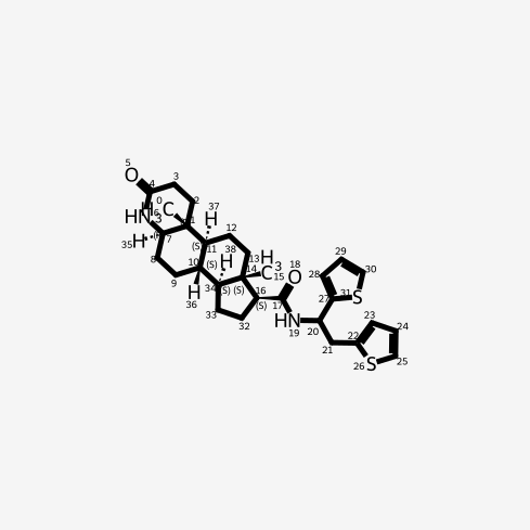 C[C@]12CCC(=O)N[C@@H]1CC[C@@H]1[C@@H]2CC[C@]2(C)[C@@H](C(=O)NC(Cc3cccs3)c3cccs3)CC[C@@H]12